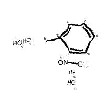 Cc1ccccc1.Cl.Cl.Cl.F.O=[NH+][O-]